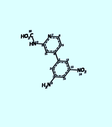 Nc1cc(-c2ccnc(NC(=O)O)c2)cc([N+](=O)[O-])c1